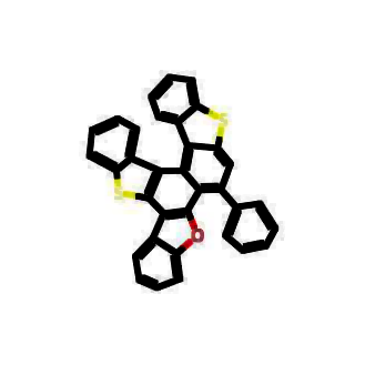 c1ccc(-c2cc3sc4ccccc4c3c3c2c2oc4ccccc4c2c2sc4ccccc4c23)cc1